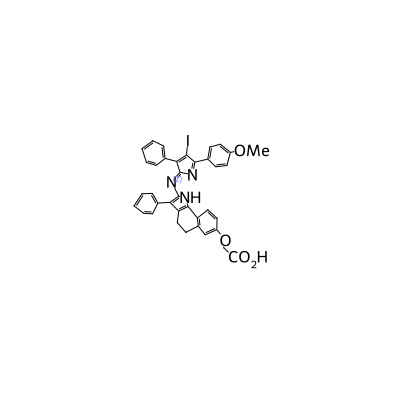 COc1ccc(C2=N/C(=N\c3[nH]c4c(c3-c3ccccc3)CCc3cc(OCC(=O)O)ccc3-4)C(c3ccccc3)=C2I)cc1